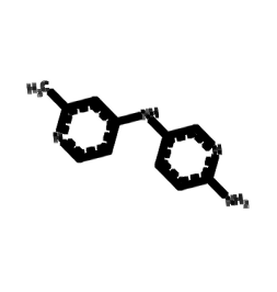 Cc1cc(Nc2ccc(N)nc2)ccn1